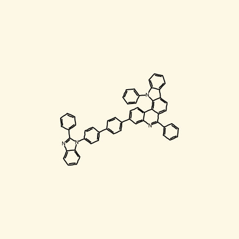 c1ccc(-c2nc3cc(-c4ccc(-c5ccc(-n6c(-c7ccccc7)nc7ccccc76)cc5)cc4)ccc3c3c2ccc2c4ccccc4n(-c4ccccc4)c23)cc1